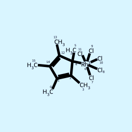 CC1=C(C)[C](C)([Rh-3]([Cl])([Cl])([Cl])([Cl])[Cl])C(C)=C1C